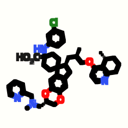 C[C@@H](COc1ccnc2c1[C@H](C)CCC2)C[C@H]1Cc2cc3c(cc2C12CCC(Nc1cccc(Cl)c1)(C(=O)O)CC2)O[C@@H](CN(C)Cc1ccccn1)CO3